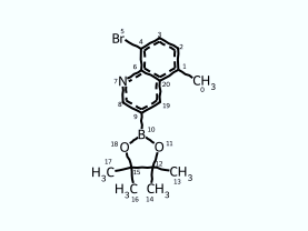 Cc1ccc(Br)c2ncc(B3OC(C)(C)C(C)(C)O3)cc12